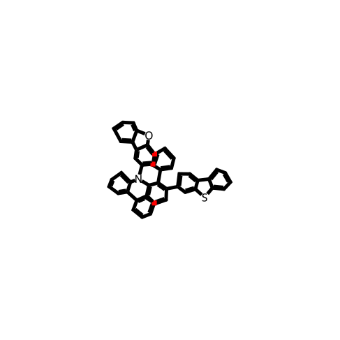 c1ccc(-c2ccccc2N(c2ccc3oc4ccccc4c3c2)c2cccc(-c3ccc4c(c3)sc3ccccc34)c2-c2ccccc2)cc1